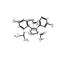 CC(C)C[C@H]1N[C@@H](C(=O)O)[C@H](c2cccc(Cl)c2)[C@@]12C(=O)Nc1cc(Cl)ccc12